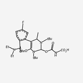 CCN(CC)C(=O)c1ccc(F)cc1C1=C(OC)N(C(C)(C)C)C(OC(=O)NC(=O)O)N(C(C)(C)C)C1C